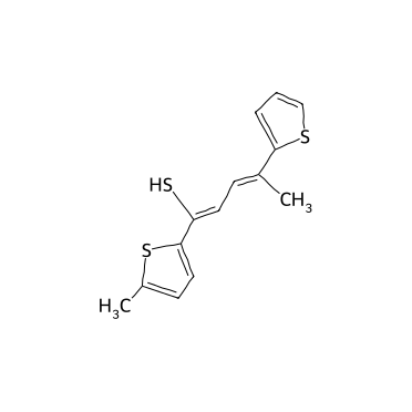 C/C(=C\C=C(/S)c1ccc(C)s1)c1cccs1